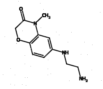 CN1C(=O)COc2ccc(NCCN)cc21